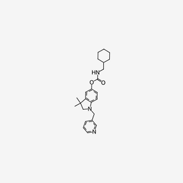 CC1(C)CN(Cc2cccnc2)c2ccc(OC(=O)NCC3CCCCC3)cc21